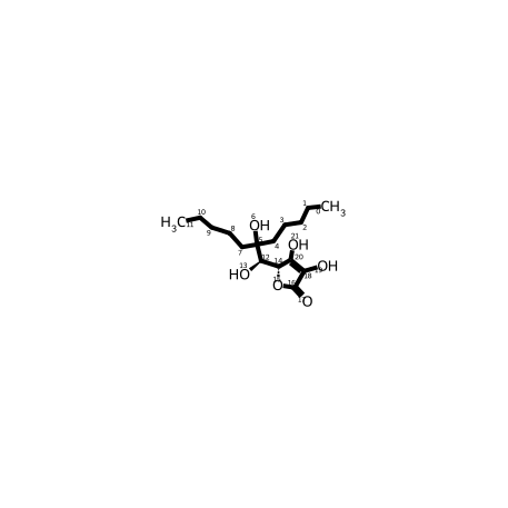 CCCCCC(O)(CCCCC)[C@H](O)[C@H]1OC(=O)C(O)=C1O